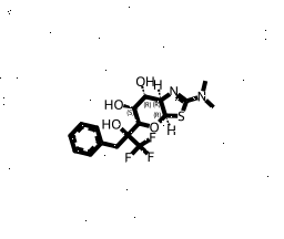 CN(C)C1=N[C@@H]2[C@@H](O)[C@H](O)C(C(O)(Cc3ccccc3)C(F)(F)F)O[C@@H]2S1